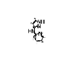 c1cnc(Nc2cc[nH]n2)nc1